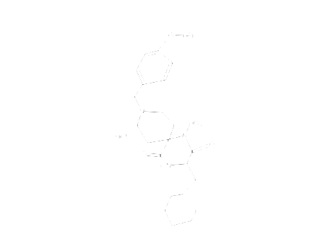 CCCCN1C(=O)C(CC2CCCCC2)NC(=O)C12CCN(Cc1ccc(OCCC)cc1)CC2.Cl